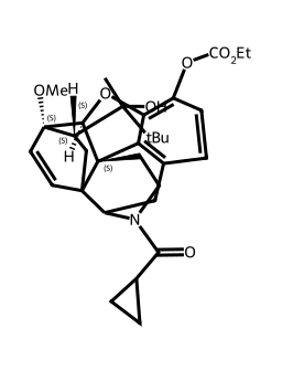 CCOC(=O)Oc1ccc2c3c1O[C@@H]1[C@]4(OC)C=CC5(C[C@H]4C(C)(O)C(C)(C)C)C(C2)N(C(=O)C2CC2)CC[C@]315